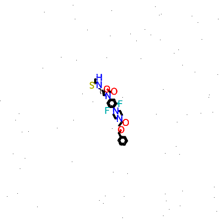 CC(=S)NC[C@H]1CN(c2cc(F)c(N3CCN(C(=O)COCc4ccccc4)CC3)c(F)c2)C(=O)O1